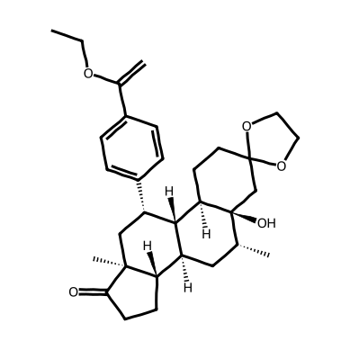 C=C(OCC)c1ccc([C@H]2C[C@]3(C)C(=O)CC[C@H]3[C@@H]3C[C@@H](C)[C@@]4(O)CC5(CC[C@@H]4[C@H]32)OCCO5)cc1